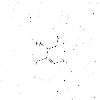 CC=C(C)C(C)C[O]